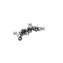 C[C@@H](NC(=O)[C@@H](N)Cc1ccc(O)cc1)C(=O)NCC(=O)N[C@@H](CCc1ccccc1)C(N)=O